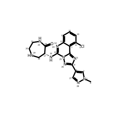 Cn1cc(-c2nc3c4c(Cl)cccc4nc(N[C@@H]4CNCCNC4=O)n3n2)cn1